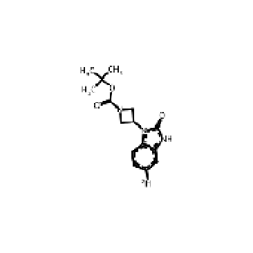 [2H]c1ccc2c(c1)[nH]c(=O)n2C1CN(C(=O)OC(C)(C)C)C1